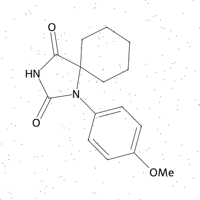 COc1ccc(N2C(=O)NC(=O)C23CCCCC3)cc1